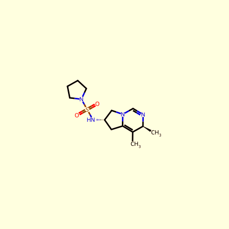 CC1=C2C[C@H](NS(=O)(=O)N3CCCC3)CN2C=N[C@H]1C